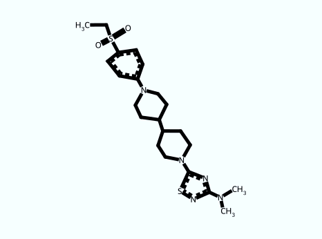 CCS(=O)(=O)c1ccc(N2CCC(C3CCN(c4nc(N(C)C)ns4)CC3)CC2)cc1